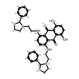 O=C1c2c(O)ccc(O)c2C(=O)c2c(NCCN3CCOC3c3ccccc3)ccc(NCCN3CCOC3c3ccccc3)c21